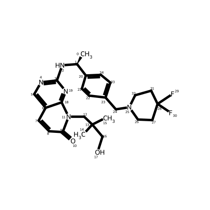 C[C@H](Nc1ncc2ccc(=O)n(CC(C)(C)CO)c2n1)c1ccc(CN2CCC(F)(F)CC2)cc1